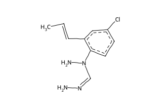 C/C=C/c1cc(Cl)ccc1N(N)/C=N\N